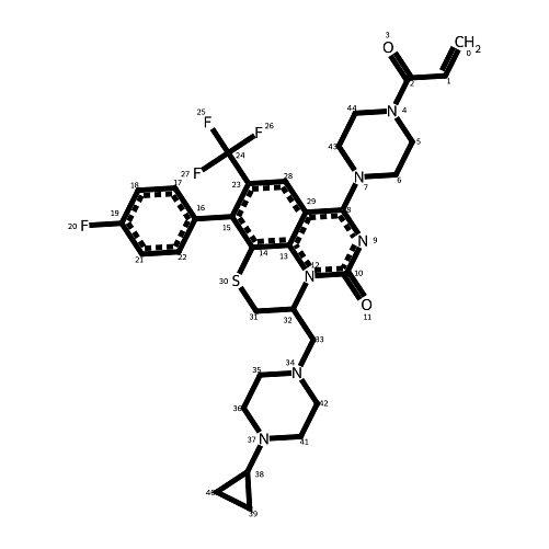 C=CC(=O)N1CCN(c2nc(=O)n3c4c(c(-c5ccc(F)cc5)c(C(F)(F)F)cc24)SCC3CN2CCN(C3CC3)CC2)CC1